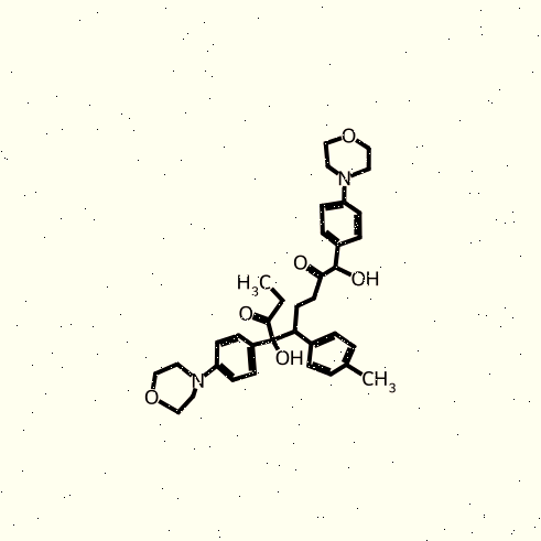 CCC(=O)C(O)(c1ccc(N2CCOCC2)cc1)C(CCC(=O)C(O)c1ccc(N2CCOCC2)cc1)c1ccc(C)cc1